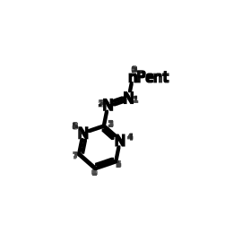 CCCCCN=Nc1ncccn1